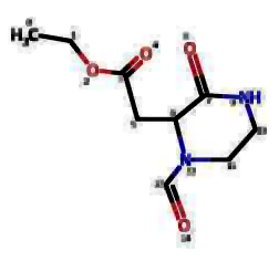 CCOC(=O)CC1C(=O)NCCN1[C]=O